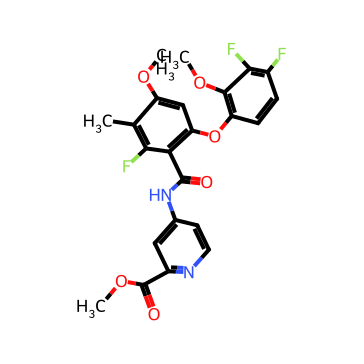 COC(=O)c1cc(NC(=O)c2c(Oc3ccc(F)c(F)c3OC)cc(OC)c(C)c2F)ccn1